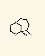 C[C@@H]1OCCN2CCO[C@@H]1C2